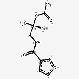 CCCC[C@](C)(CNC(=O)c1ccon1)OC(N)=O